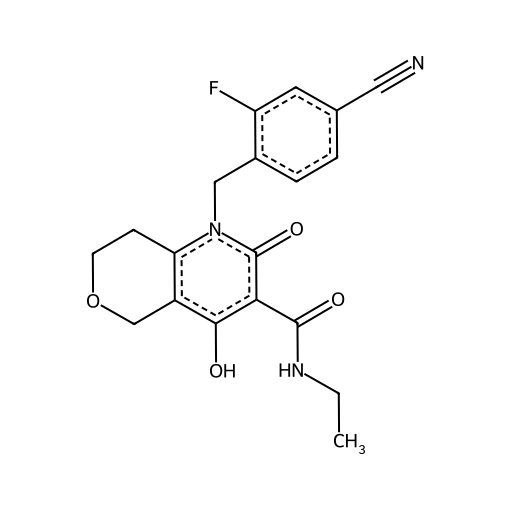 CCNC(=O)c1c(O)c2c(n(Cc3ccc(C#N)cc3F)c1=O)CCOC2